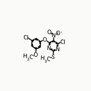 COc1cc(Cl)cc(Oc2nc(SC)nc(Cl)c2[N+](=O)[O-])c1